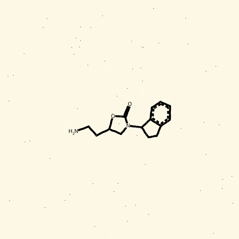 NCCC1CN(C2CCc3ccccc32)C(=O)O1